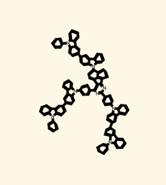 c1ccc(-n2c3ccccc3c3cc(-c4ccc5c(c4)c4ccccc4n5-c4ccc(-c5nc(-c6ccc(-n7c8ccccc8c8cc(-c9ccc%10c(c9)c9ccccc9n%10-c9ccccc9)ccc87)cc6)c6c(n5)-c5cccc7c(-n8c9ccccc9c9cc(-c%10ccc%11c(c%10)c%10ccccc%10n%11-c%10ccccc%10)ccc98)ccc-6c57)cc4)ccc32)cc1